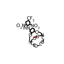 O=[N+]([O-])c1cc(C(F)(F)F)cc([N+](=O)[O-])c1Nc1ccc2c(c1)OCCN1CCOCCOCCN(CCOCCOCC1)CCO2